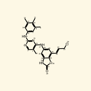 Cc1cnc(Nc2cc(C)c(C)c(C)c2)nc1Nc1cc(C=CCCl)c2oc(=O)[nH]c2c1